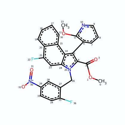 COC(=O)c1c(-c2cccnc2OC)c2c3ccccc3c(F)cc2n1Cc1cc([N+](=O)[O-])ccc1F